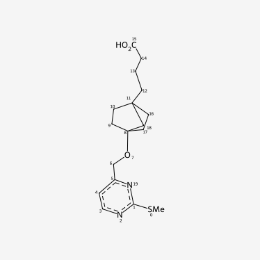 CSc1nccc(COC23CCC(CCCC(=O)O)(CC2)C3)n1